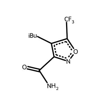 CCC(C)c1c(C(N)=O)noc1C(F)(F)F